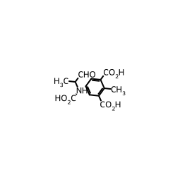 CC(C=O)NC(=O)O.Cc1c(C(=O)O)cccc1C(=O)O